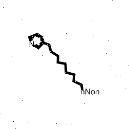 CCCCCCCCCCCCCCCCCCc1[c]nccc1